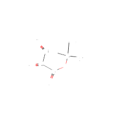 CCCC[Si](C)(C)O[Si](=O)[Si](=O)[SiH]=O